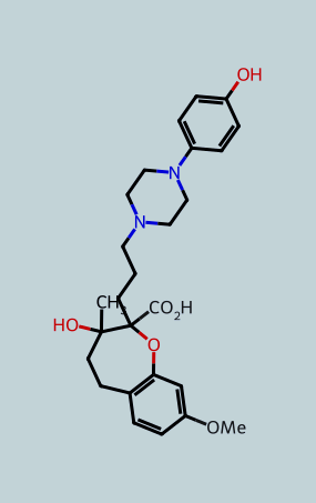 COc1ccc2c(c1)OC(CCCN1CCN(c3ccc(O)cc3)CC1)(C(=O)O)C(C)(O)CC2